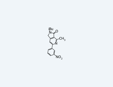 CCC(C)N1Cc2cc(-c3cccc([N+](=O)[O-])c3)nc(C)c2C1=O